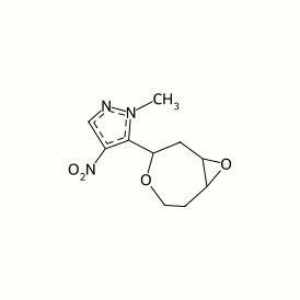 Cn1ncc([N+](=O)[O-])c1C1CC2OC2CCO1